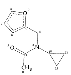 CC(=O)N(Cc1ccco1)C1CC1